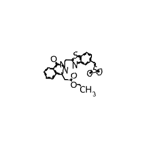 CCOC(=O)Cc1nn(Cc2nc3cc(C=S(=O)=O)ccc3s2)c(=O)c2ccccc12